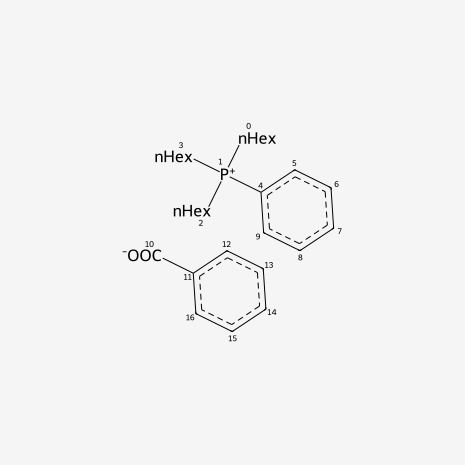 CCCCCC[P+](CCCCCC)(CCCCCC)c1ccccc1.O=C([O-])c1ccccc1